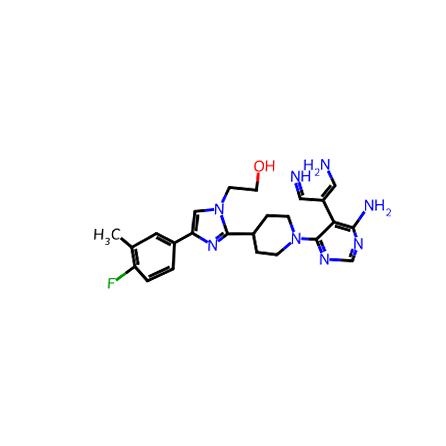 Cc1cc(-c2cn(CCO)c(C3CCN(c4ncnc(N)c4/C(C=N)=C/N)CC3)n2)ccc1F